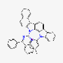 CC1C=C(n2c3ccccc3c3ccc4c5c6ccccc6ccc5n(-c5nc(-c6ccccc6)c6ccccc6n5)c4c32)C=CC1